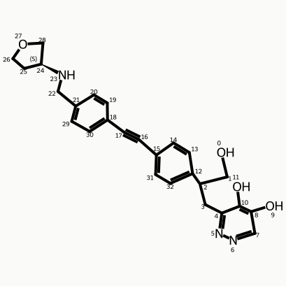 OCC(Cc1nncc(O)c1O)c1ccc(C#Cc2ccc(CN[C@H]3CCOC3)cc2)cc1